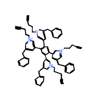 C#CCCC[n+]1cc(Cc2ccccc2)cc(-c2cc(-c3cc(Cc4ccccc4)c[n+](CCCC#C)c3)c(-c3cc(Cc4ccccc4)c[n+](CCCC#C)c3)cc2-c2cc(Cc3ccccc3)c[n+](CCCC#C)c2)c1